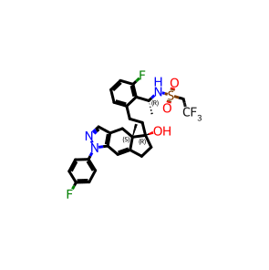 C[C@@H](NS(=O)(=O)CC(F)(F)F)c1c(F)cccc1CC[C@]1(O)CCC2=Cc3c(cnn3-c3ccc(F)cc3)C[C@@]21C